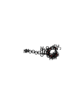 C=C1C[C@@H]2CC[C@@]34C[C@H]5OC6[C@@H](O[C@H]7CC[C@H](CC(=O)C[C@@H]8[C@@H](OC)[C@@H](C[C@H](O)CNC(=O)CCOCCOCCOCCOCCN=[N+]=[N-])O[C@H]8C[C@H]8O[C@@H](CC[C@@H]1O2)C[C@@H](C)C8=C)O[C@@H]7[C@@H]6O3)[C@H]5O4